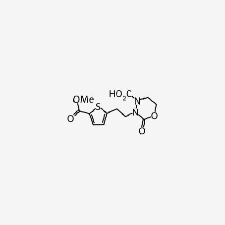 COC(=O)c1ccc(CCN2C(=O)OCCN2C(=O)O)s1